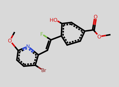 COC(=O)c1ccc(/C(F)=C/c2nc(OC)ccc2Br)c(O)c1